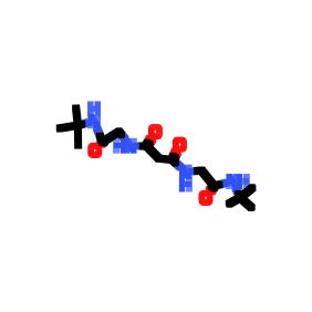 CC(C)(C)NC(=O)CNC(=O)CC(=O)NCC(=O)NC(C)(C)C